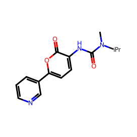 CC(C)N(C)C(=O)Nc1ccc(-c2cccnc2)oc1=O